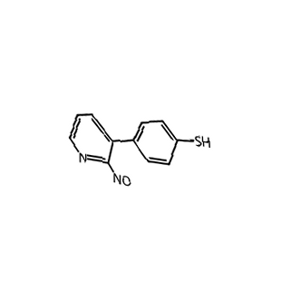 O=Nc1ncccc1-c1ccc(S)cc1